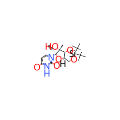 C#C[C@@]1(n2ccc(=O)[nH]c2=O)O[C@@H]2CO[Si](C(C)(C)C)(C(C)(C)C)OC2[C@@]1(C)O